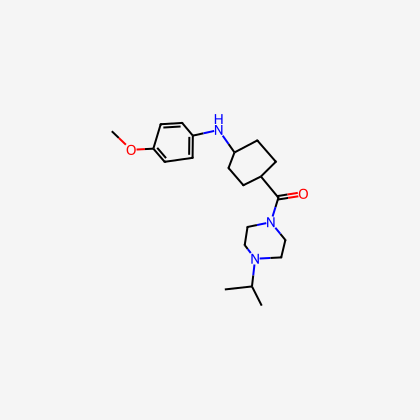 COc1ccc(NC2CCC(C(=O)N3CCN(C(C)C)CC3)CC2)cc1